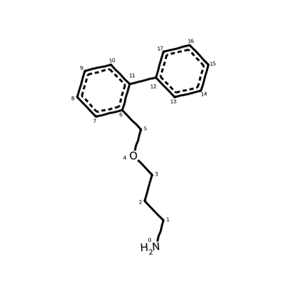 NCCCOCc1ccccc1-c1ccccc1